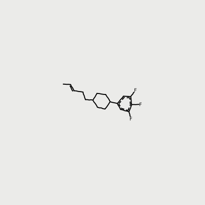 CC=CCCC1CCC(c2cc(F)c(F)c(F)c2)CC1